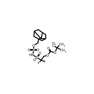 CC(C)(C)OC(=O)OCC(F)(F)S(=O)(=O)NS(=O)(=O)OCC12CC3CC(CC(C3)C1)C2